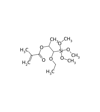 C=C(C)C(=O)OC(C)C(OCC)[Si](OC)(OC)OC